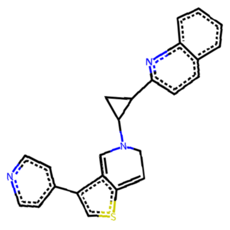 C1=c2scc(-c3ccncc3)c2=CN(C2CC2c2ccc3ccccc3n2)C1